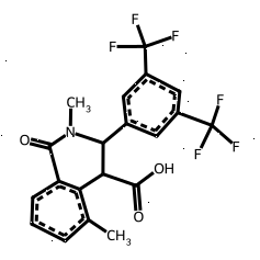 Cc1cccc2c1C(C(=O)O)C(c1cc(C(F)(F)F)cc(C(F)(F)F)c1)N(C)C2=O